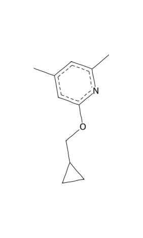 Cc1cc(C)nc(OCC2CC2)c1